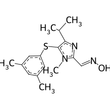 Cc1cc(C)cc(Sc2c(C(C)C)nc(/C=N/O)n2C)c1